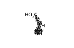 O=C(O)CSc1ccc(-c2csc(NCc3ccc(C(F)(F)P(=O)(O)O)c(Br)c3)n2)cc1